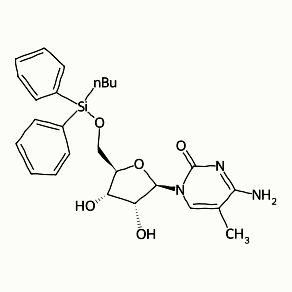 CCCC[Si](OC[C@H]1O[C@@H](n2cc(C)c(N)nc2=O)[C@H](O)[C@@H]1O)(c1ccccc1)c1ccccc1